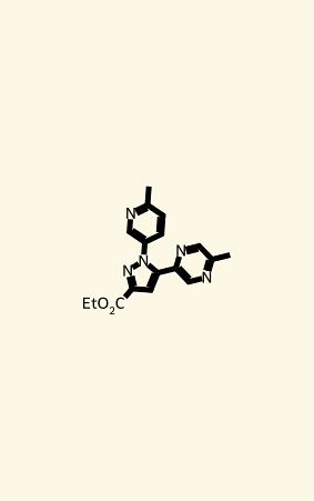 CCOC(=O)c1cc(-c2cnc(C)cn2)n(-c2ccc(C)nc2)n1